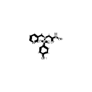 O=C(CN(Cc1cccnc1)S(=O)(=O)c1ccc(O)cc1)NO